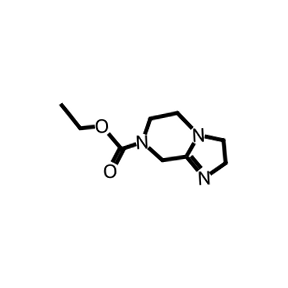 CCOC(=O)N1CCN2CCN=C2C1